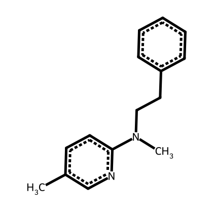 Cc1ccc(N(C)CCc2ccccc2)nc1